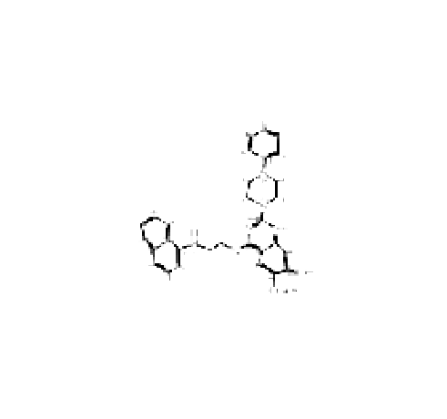 COc1cc2c(NCCNc3cccc4ccccc34)nc(N3CCN(c4ccccc4)CC3)nc2cc1O